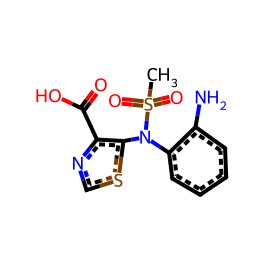 CS(=O)(=O)N(c1ccccc1N)c1scnc1C(=O)O